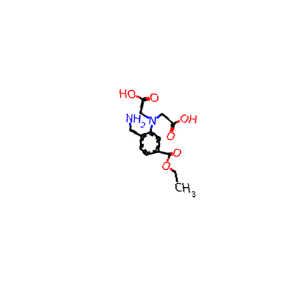 CCOC(=O)c1ccc(CN)c(N(CC(=O)O)CC(=O)O)c1